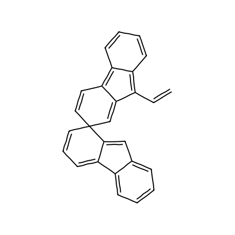 C=CC1=c2ccccc2=C2C=CC3(C=CC=C4C3=Cc3ccccc34)C=C12